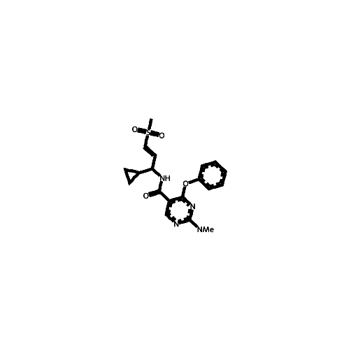 CNc1ncc(C(=O)NC(C=CS(C)(=O)=O)C2CC2)c(Oc2ccccc2)n1